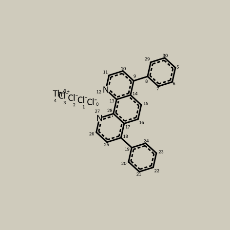 [Cl-].[Cl-].[Cl-].[Cl-].[Th+4].c1ccc(-c2ccnc3c2ccc2c(-c4ccccc4)ccnc23)cc1